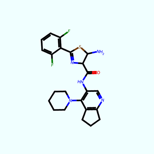 NC1SC(c2c(F)cccc2F)=NC1C(=O)Nc1cnc2c(c1N1CCCCC1)CCC2